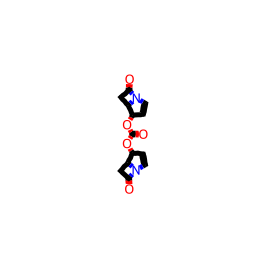 O=C(OC1C=CN2C(=O)CC12)OC1C=CN2C(=O)CC12